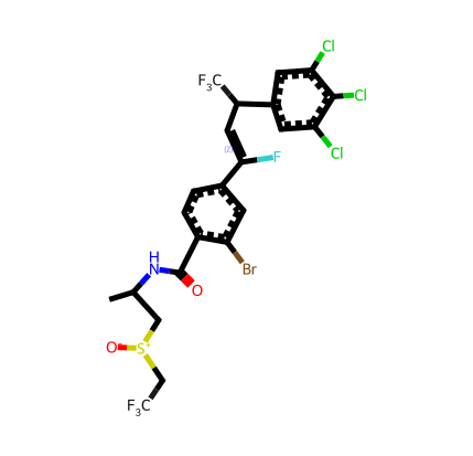 CC(C[S+]([O-])CC(F)(F)F)NC(=O)c1ccc(/C(F)=C/C(c2cc(Cl)c(Cl)c(Cl)c2)C(F)(F)F)cc1Br